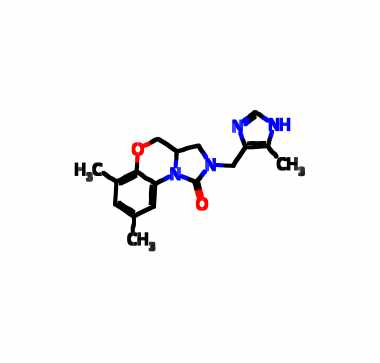 Cc1cc(C)c2c(c1)N1C(=O)N(Cc3nc[nH]c3C)CC1CO2